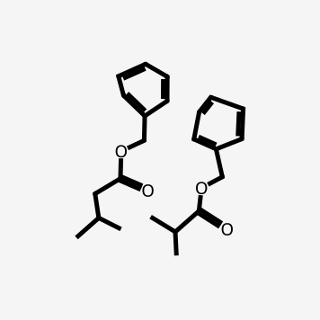 CC(C)C(=O)OCc1ccccc1.CC(C)CC(=O)OCc1ccccc1